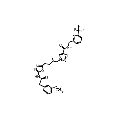 O=C(Cc1cccc(OC(F)(F)F)c1)Nc1nnc(CCC(F)Cn2cc(C(=O)NCc3cccc(C(F)(F)F)n3)nn2)s1